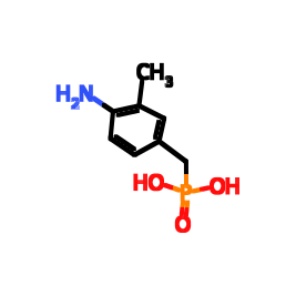 Cc1cc(CP(=O)(O)O)ccc1N